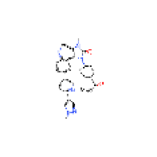 COC(=O)[C@H]1CC[C@@H](n2c(=O)n(C)c3cnc4ccc(-c5ccc(-c6cnn(C)c6)nc5)cc4c32)CC1